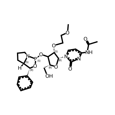 COCCO[C@H]1C(O[P@@]2O[C@H](c3ccccc3)[C@@H]3CCCN32)[C@@H](CO)O[C@H]1n1ccc(NC(C)=O)nc1=O